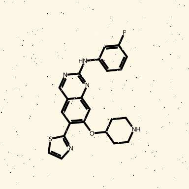 Fc1cccc(Nc2ncc3cc(-c4nccs4)c(OC4CCNCC4)cc3n2)c1